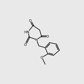 COc1ccccc1CN1C(=O)CC(=O)NC1=O